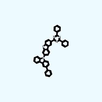 C1=CC(c2nc(-c3ccccc3)nc(-c3ccc4sc5cc(-n6c7ccccc7c7cc(-c8ccccc8)ccc76)ccc5c4c3)n2)=CCC1